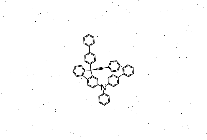 C(#CC1(c2ccc(-c3ccccc3)cc2)c2ccccc2-c2ccc(N(c3ccccc3)c3ccc(-c4ccccc4)cc3)cc21)c1ccccc1